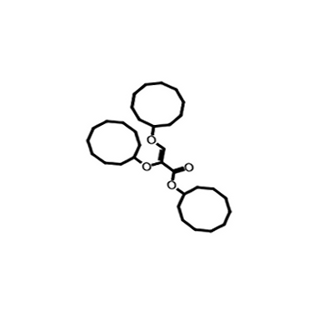 O=C(OC1CCCCCCCCC1)C(=COC1CCCCCCCCC1)OC1CCCCCCCCC1